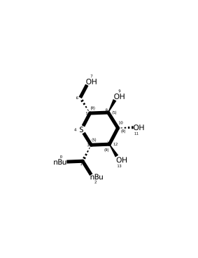 CCCCC(CCCC)[C@@H]1S[C@H](CO)[C@@H](O)[C@H](O)[C@H]1O